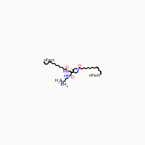 CCCCC/C=C\C/C=C\CCCCCCCC(=O)Nc1sc2c(c1C(=O)NCCCN(C)C)CCN(C(=O)CCCCCCC/C=C\C/C=C\CCCCC)C2